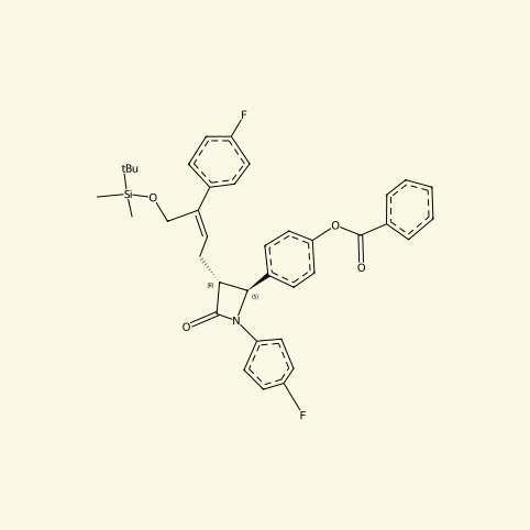 CC(C)(C)[Si](C)(C)OCC(=CC[C@H]1C(=O)N(c2ccc(F)cc2)[C@@H]1c1ccc(OC(=O)c2ccccc2)cc1)c1ccc(F)cc1